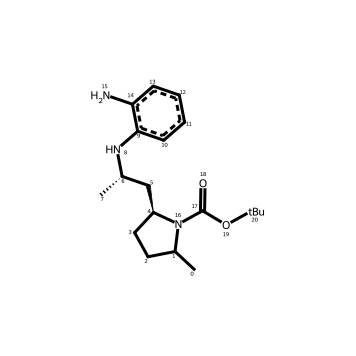 CC1CC[C@@H](C[C@H](C)Nc2ccccc2N)N1C(=O)OC(C)(C)C